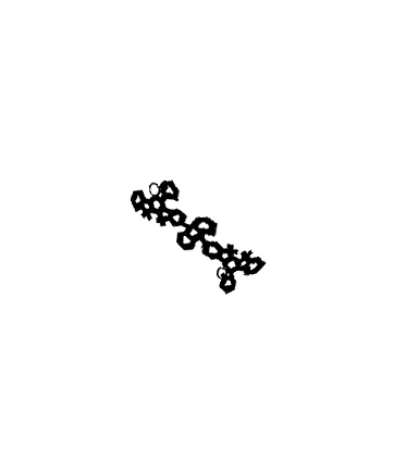 CC1(C)c2cc(-c3c4ccccc4c(-c4ccc5c(c4)C(C)(C)c4c6c(c7oc8ccccc8c7c4-5)-c4ccccc4C6(C)C)c4ccccc34)ccc2-c2c1c1c(c3c2oc2ccccc23)-c2ccccc2C1(C)C